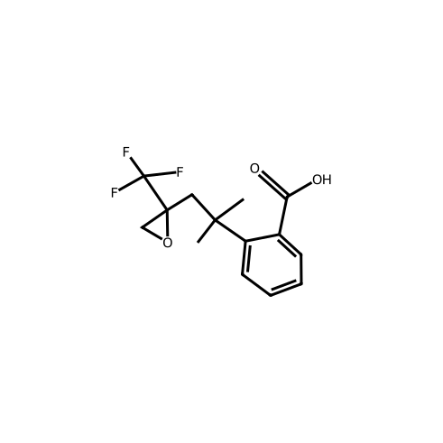 CC(C)(CC1(C(F)(F)F)CO1)c1ccccc1C(=O)O